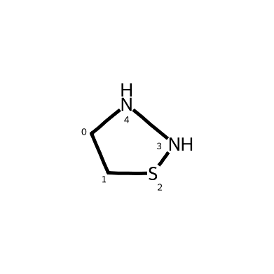 C1CSNN1